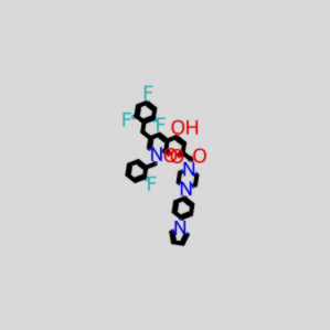 O=C(/C=C(/O)c1cc(Cc2c(F)cc(F)cc2F)cn(Cc2ccccc2F)c1=O)C(=O)N1CCN(c2ccc(-n3cccc3)cc2)CC1